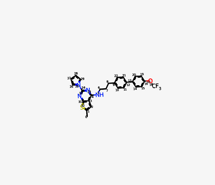 Cc1cc2c(NCCCc3ccc(-c4ccc(OC(F)(F)F)cc4)cc3)nc(-n3cccc3)nc2s1